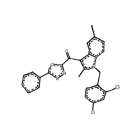 Cc1ccc2c(c1)c(C(=O)c1nnc(-c3ccccc3)o1)c(C)n2Cc1ccc(Cl)cc1Cl